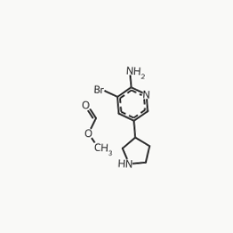 COC=O.Nc1ncc(C2CCNC2)cc1Br